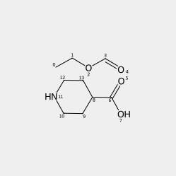 CCOC=O.O=C(O)C1CCNCC1